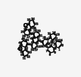 c1ccc(C2(c3ccccc3)c3ccccc3-c3cc(-c4c5cccc(-c6cccc7oc8ccccc8c67)c5cc5c(-c6cccc7oc8ccccc8c67)cccc45)ccc32)cc1